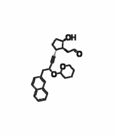 O=CC[C@@H]1[C@H](O)CC[C@H]1C#CC(Cc1ccc2ccccc2c1)OC1CCCCO1